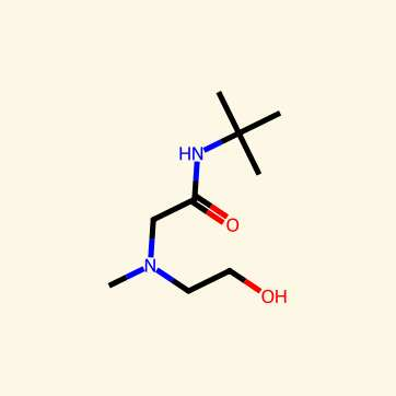 CN(CCO)CC(=O)NC(C)(C)C